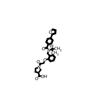 [2H]C(C)(C)N(Cc1ccccc1OCC(=O)N1CCC(C(=O)O)C1)C(=O)c1ccc(-c2ccco2)cc1